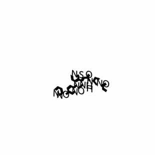 C=CC(=O)N1CCC(NC(=O)c2sc3nccc4c3c2NC(=O)N4c2ccc(Oc3cccnn3)cn2)C1